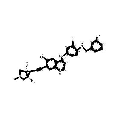 CN1C[C@@H]2C(C#Cc3cc4ncnc(Nc5ccc(OCc6cccc(F)c6)c(Cl)c5)c4cc3[N+](=O)[O-])[C@@H]2C1